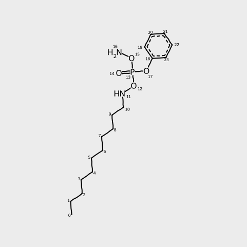 CCCCCCCCCCCNOP(=O)(ON)Oc1ccccc1